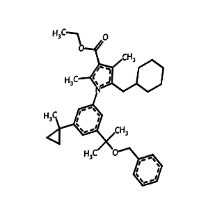 CCOC(=O)c1c(C)c(CC2CCCCC2)n(-c2cc(C3(C)CC3)cc(C(C)(C)OCc3ccccc3)c2)c1C